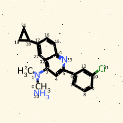 CN(C)c1cc(-c2cccc(Cl)c2)nc2ccc(C3CC3)cc12.N